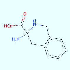 NC1(C(=O)O)Cc2ccccc2CN1